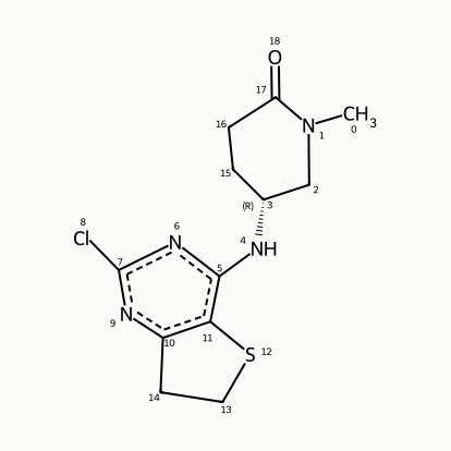 CN1C[C@H](Nc2nc(Cl)nc3c2SCC3)CCC1=O